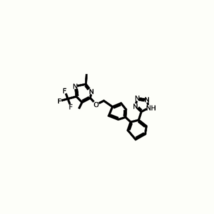 Cc1nc(OCc2ccc(-c3ccccc3-c3nnn[nH]3)cc2)c(C)c(C(F)(F)F)n1